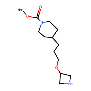 CC(C)(C)OC(=O)N1CCC(CCCOC2CNC2)CC1